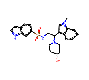 Cn1cc(C(CNS(=O)(=O)c2ccc3cc[nH]c3c2)N2CCC(O)CC2)c2ccccc21